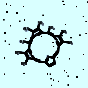 O=[N+]([O-])C1=C2N=C(C=C3C=CC(=N3)C=C3N=C(C([N+](=O)[O-])=C4N=C1C([N+](=O)[O-])=C4[N+](=O)[O-])C([N+](=O)[O-])=C3[N+](=O)[O-])C([N+](=O)[O-])=C2[N+](=O)[O-]